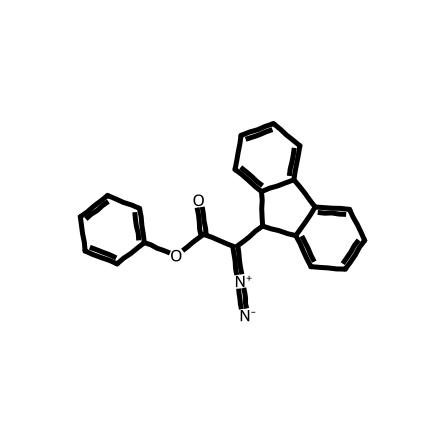 [N-]=[N+]=C(C(=O)Oc1ccccc1)C1c2ccccc2-c2ccccc21